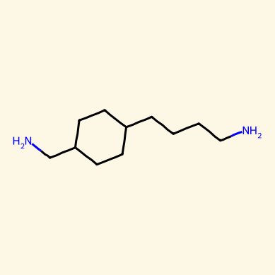 NCCCCC1CCC(CN)CC1